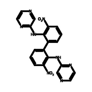 O=[N+]([O-])c1cccc(-c2cccc([N+](=O)[O-])c2Nc2cnccn2)c1Nc1cnccn1